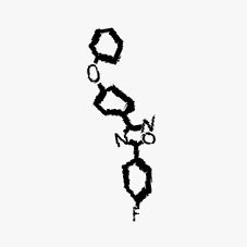 Fc1ccc(-c2nc(-c3ccc(Oc4ccccc4)cc3)no2)cc1